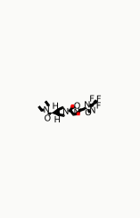 CCN(CC)C(=O)[C@H]1[C@@H]2CN(C3CC4COC3=CN4c3nc(C(F)(F)F)no3)C[C@@H]21